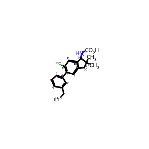 CC(C)Cc1cccc(-c2cc3c(cc2F)C(NC(=O)O)C(C)(C)C3)c1